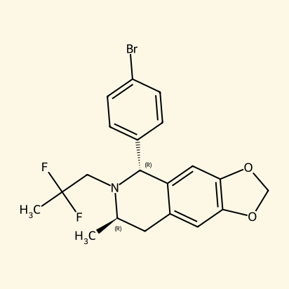 C[C@@H]1Cc2cc3c(cc2[C@@H](c2ccc(Br)cc2)N1CC(C)(F)F)OCO3